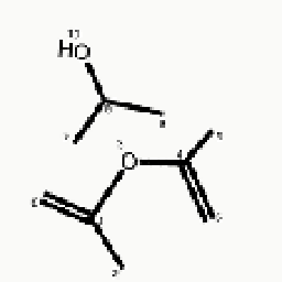 C=C(C)OC(=C)C.CC(C)O